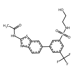 CC(=O)Nc1nc2ccc(-c3cc(C(F)(F)F)cc(S(=O)(=O)NCCO)c3)cc2s1